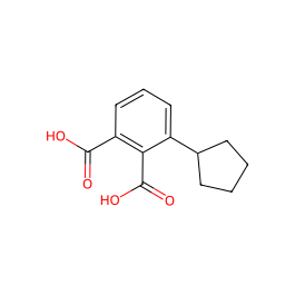 O=C(O)c1cccc(C2CCCC2)c1C(=O)O